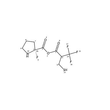 O=C(OC(=O)[C@]1(F)CCCN1)C(CS)C(F)(F)F